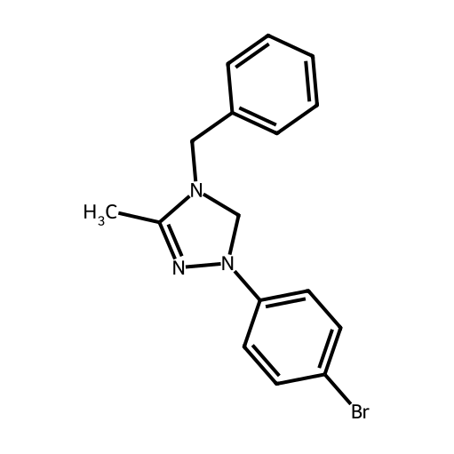 CC1=NN(c2ccc(Br)cc2)CN1Cc1ccccc1